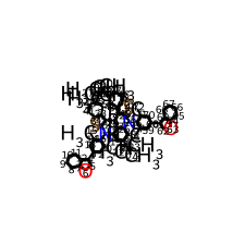 Cc1cc(-c2coc3ccccc23)cc(C)c1N1c2cc(C(C)(C)C)cc3c2B(c2c1sc1c2CC(C(C)(C)C)C=C1)c1c(sc2ccc(C(C)(C)C)cc12)N3c1c(C)cc(-c2coc3ccccc23)cc1C